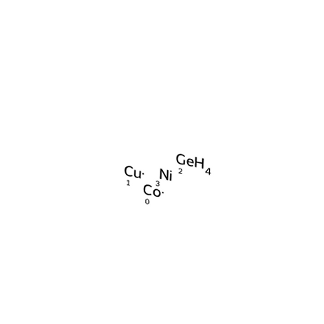 [Co].[Cu].[GeH4].[Ni]